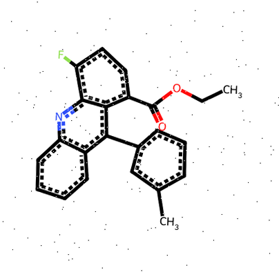 CCOC(=O)c1ccc(F)c2nc3ccccc3c(-c3cccc(C)c3)c12